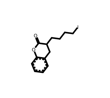 O=C1Oc2ccccc2CC1CCCCI